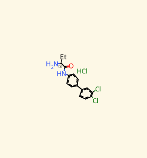 CC[C@H](N)C(=O)Nc1ccc(-c2ccc(Cl)c(Cl)c2)cc1.Cl